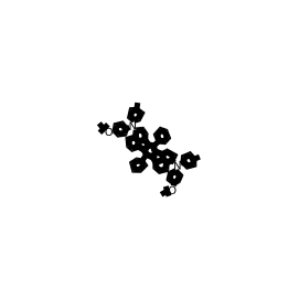 Cc1ccc(N(c2ccc(OC(C)(C)C)cc2)c2ccc3c4c(-c5ccccc5)c5c6ccc(N(c7ccc(C)cc7)c7ccc(OC(C)(C)C)cc7)c7cccc(c5c(-c5ccccc5)c4c4cccc2c43)c76)cc1